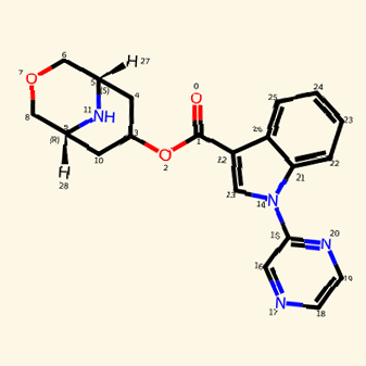 O=C(OC1C[C@H]2COC[C@@H](C1)N2)c1cn(-c2cnccn2)c2ccccc12